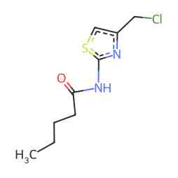 CCCCC(=O)Nc1nc(CCl)cs1